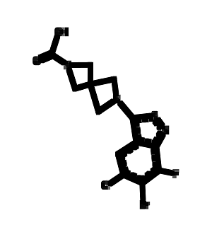 O=C(O)N1CC2(C1)CN(c1snc3c(F)c(Br)c(Cl)cc13)C2